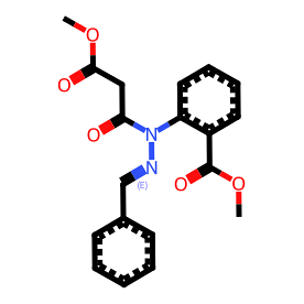 COC(=O)CC(=O)N(/N=C/c1ccccc1)c1ccccc1C(=O)OC